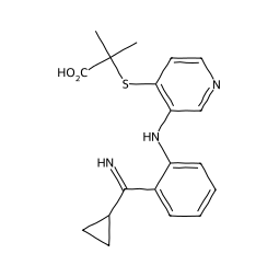 CC(C)(Sc1ccncc1Nc1ccccc1C(=N)C1CC1)C(=O)O